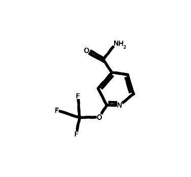 NC(=O)c1ccnc(OC(F)(F)F)c1